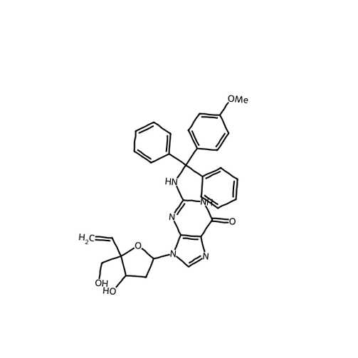 C=CC1(CO)OC(n2cnc3c(=O)[nH]c(NC(c4ccccc4)(c4ccccc4)c4ccc(OC)cc4)nc32)CC1O